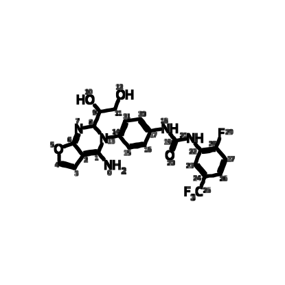 NC1=c2ccoc2=NC(C(O)CO)N1c1ccc(NC(=O)Nc2cc(C(F)(F)F)ccc2F)cc1